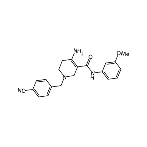 COc1cccc(NC(=O)C2=C(N)CCN(Cc3ccc(C#N)cc3)C2)c1